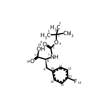 CC(C)(C)OC(=O)N[C@@H](Cc1ccc(F)cc1)C(=O)O